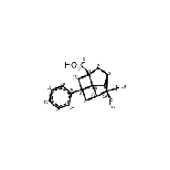 O=C(O)C12CC3CC14C(CC4(c1ccccc1)C2)C3(F)F